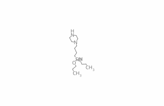 CCCO[SiH](CCCCN1CCNCC1)OCCC